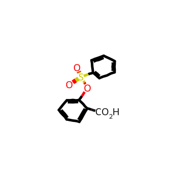 O=C(O)c1ccccc1OS(=O)(=O)c1ccccc1